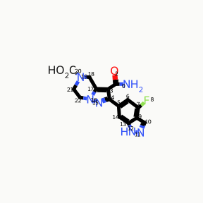 NC(=O)c1c(-c2cc(F)c3cn[nH]c3c2)nn2c1CN(C(=O)O)CC2